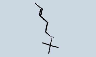 CC=CCCOC(C)(C)C